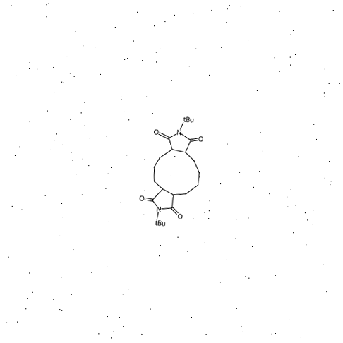 CC(C)(C)N1C(=O)C2CCCCC3C(=O)N(C(C)(C)C)C(=O)C3CCCC2C1=O